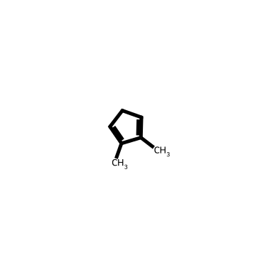 CC1=CCC=C1C